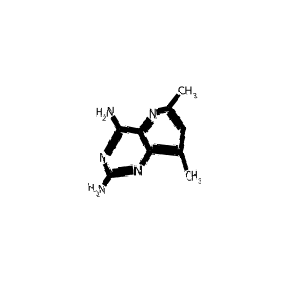 Cc1cc(C)c2nc(N)nc(N)c2n1